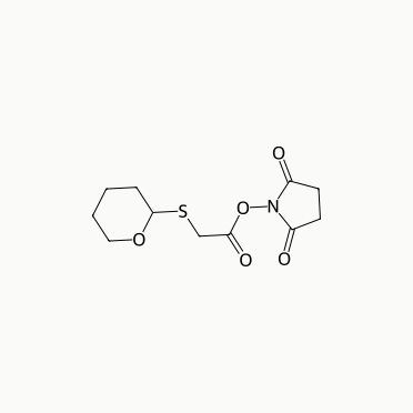 O=C(CSC1CCCCO1)ON1C(=O)CCC1=O